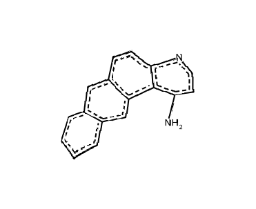 Nc1ccnc2ccc3cc4ccccc4cc3c12